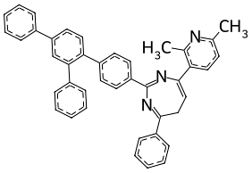 Cc1ccc(C2=CCC(c3ccccc3)=NC(c3ccc(-c4ccc(-c5ccccc5)cc4-c4ccccc4)cc3)=N2)c(C)n1